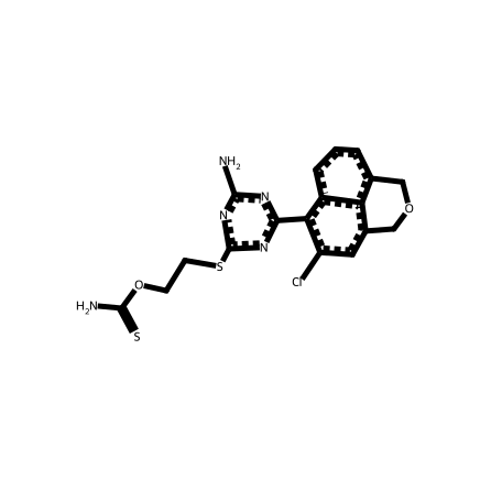 NC(=S)OCCSc1nc(N)nc(-c2c(Cl)cc3c4c(cccc24)COC3)n1